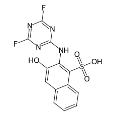 O=S(=O)(O)c1c(Nc2nc(F)nc(F)n2)c(O)cc2ccccc12